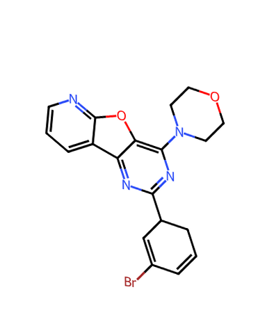 BrC1=CC(c2nc(N3CCOCC3)c3oc4ncccc4c3n2)CC=C1